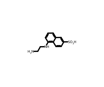 NCCNc1cccc2cc(S(=O)(=O)O)ccc12